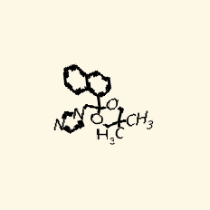 CC1(C)COC(Cn2ccnc2)(c2cccc3ccccc23)OC1